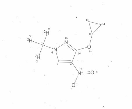 [2H]C([2H])([2H])n1cc([N+](=O)[O-])c(OC2CC2)n1